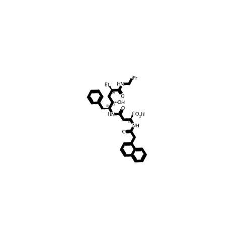 CC[C@H](C[C@H](O)[C@H](Cc1ccccc1)NC(=O)C[C@H](NC(=O)Cc1cccc2ccccc12)C(=O)O)C(=O)NCC(C)C